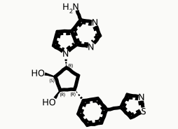 Nc1ncnc2c1ccn2[C@@H]1C[C@H](c2cccc(-c3cnsc3)c2)[C@@H](O)[C@H]1O